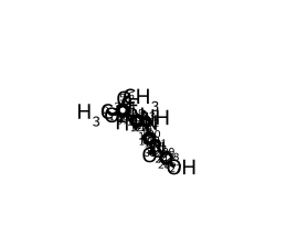 COc1cc(OC)c(F)c(-c2ncc3c(-c4ccc5c(c4)CN(C4CCC(O)CC4)C5=O)n[nH]c3n2)c1F